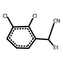 CCC(C#N)c1cccc(Cl)c1Cl